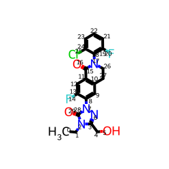 CCn1c(CO)nn(-c2cc3c(cc2F)C(=O)N(c2c(F)cccc2Cl)CC3)c1=O